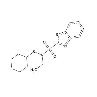 CCN(SC1CCCCC1)S(=O)(=O)c1nc2ccccc2s1